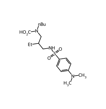 CCCCN(CC(CC)CNS(=O)(=O)c1ccc(N(C)C)cc1)C(=O)O